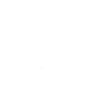 CCOC(=O)C(CC1CC1)OS(C)(=O)=O